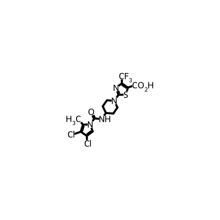 Cc1c(Cl)c(Cl)cn1C(=O)NC1CCN(c2nc(C(F)(F)F)c(C(=O)O)s2)CC1